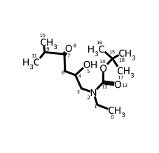 CCN(CC(O)CC(=O)C(C)C)C(=O)OC(C)(C)C